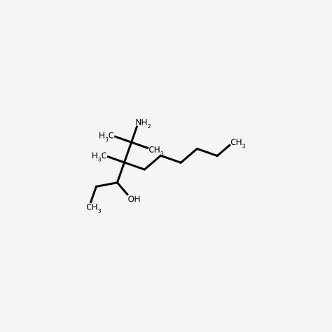 CCCCCCC(C)(C(O)CC)C(C)(C)N